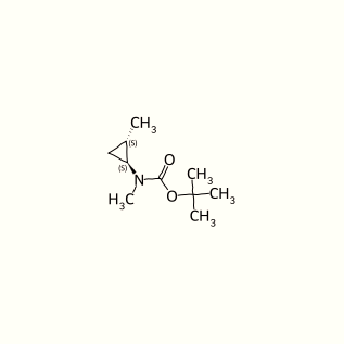 C[C@H]1C[C@@H]1N(C)C(=O)OC(C)(C)C